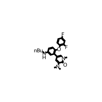 CCCCNc1ccc(Oc2ccc(F)cc2F)c(-c2cc(N(C)C)c(=O)n(C)c2)c1